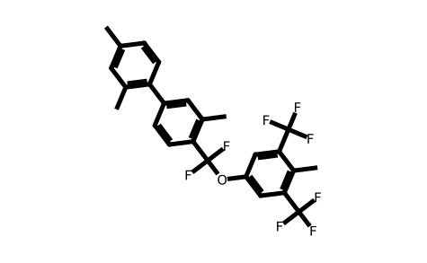 Cc1ccc(-c2ccc(C(F)(F)Oc3cc(C(F)(F)F)c(C)c(C(F)(F)F)c3)c(C)c2)c(C)c1